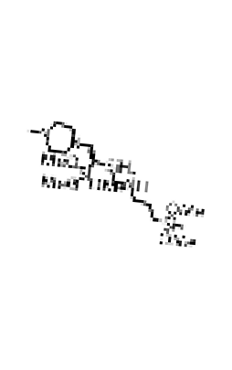 CO[Si](C)(CCCNC[SiH2]C(=CN1CCN(C)CC1)[Si](OC)(OC)OC)OC